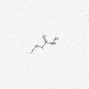 CCNC(=O)COI